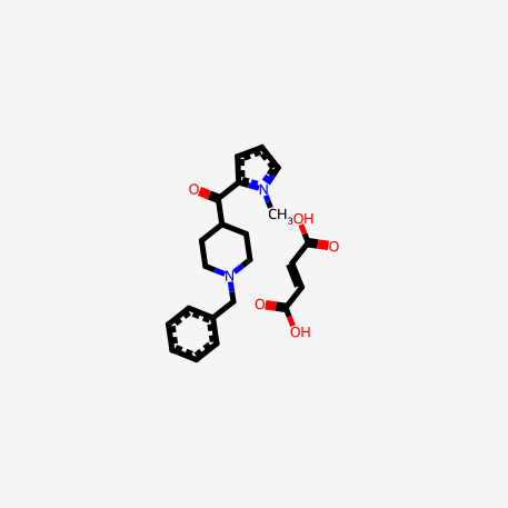 Cn1cccc1C(=O)C1CCN(Cc2ccccc2)CC1.O=C(O)C=CC(=O)O